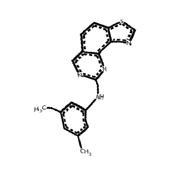 Cc1cc(C)cc(Nc2ncc3ccc4scnc4c3n2)c1